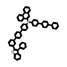 c1ccc(-c2ccc(-c3ccc(N(c4ccc(-c5ccc(-c6cccc(-c7oc8ccccc8c7-c7ccccc7)c6)cc5)cc4)c4cc5ccccc5c5ccccc45)cc3)cc2)cc1